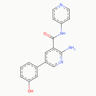 Nc1ncc(-c2cccc(O)c2)cc1C(=O)Nc1ccncc1